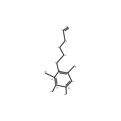 [CH]=CCCCCc1c(C)cc(C)c(C)c1C